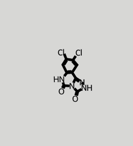 O=c1[nH]nc2c3cc(Cl)c(Cl)cc3[nH]c(=O)n12